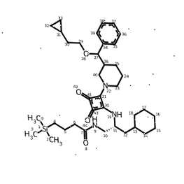 C[Si](C)(C)CCCC(=O)NC[C@@H](CC1CCCCC1)Nc1c(N2CCCC(C(OCCC3CC3)c3ccccc3)C2)c(=O)c1=O